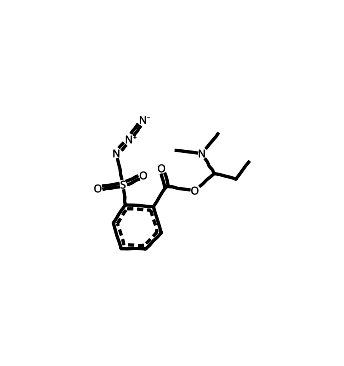 CCC(OC(=O)c1ccccc1S(=O)(=O)N=[N+]=[N-])N(C)C